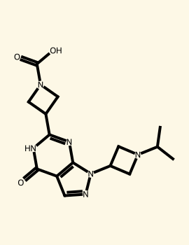 CC(C)N1CC(n2ncc3c(=O)[nH]c(C4CN(C(=O)O)C4)nc32)C1